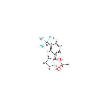 CC(=O)OC1(c2cccc(C(F)(F)F)c2)CCCC1